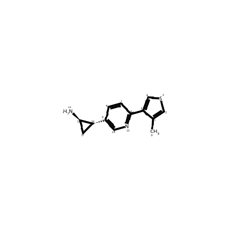 Cc1cscc1-c1ccc([C@@H]2C[C@H]2N)cn1